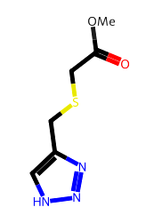 COC(=O)CSCc1c[nH]nn1